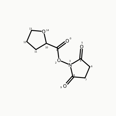 O=C(ON1C(=O)CCC1=O)C1CCCO1